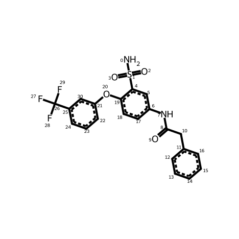 NS(=O)(=O)c1cc(NC(=O)Cc2ccccc2)ccc1Oc1cccc(C(F)(F)F)c1